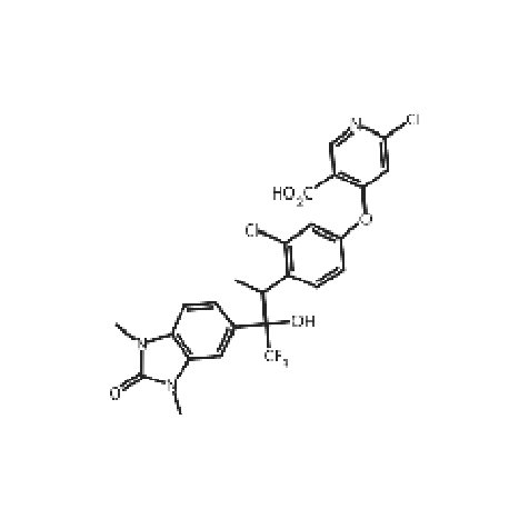 CC(c1ccc(Oc2cc(Cl)ncc2C(=O)O)cc1Cl)C(O)(c1ccc2c(c1)n(C)c(=O)n2C)C(F)(F)F